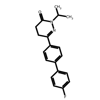 CC(C)N1N=C(c2ccc(-c3ccc(F)cc3)cc2)CCC1=O